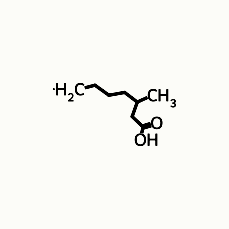 [CH2]CCCC(C)CC(=O)O